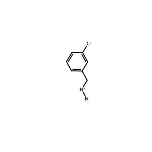 [N][N+]Cc1cccc(Cl)c1